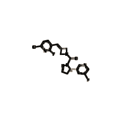 O=C(N1CC(=Cc2ccc(Cl)nc2F)C1)N1N=CC[C@H]1c1cncc(F)c1